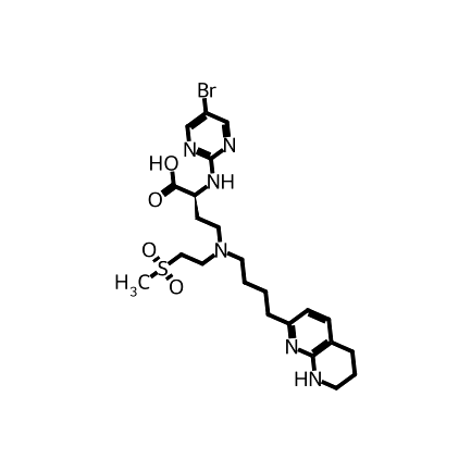 CS(=O)(=O)CCN(CCCCc1ccc2c(n1)NCCC2)CC[C@H](Nc1ncc(Br)cn1)C(=O)O